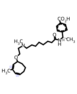 CC1=C/C(OCCN(C)CCCCCCCC(=O)N[C@@H](C)c2ccc(C(=O)O)cc2)CCC/C=C\1